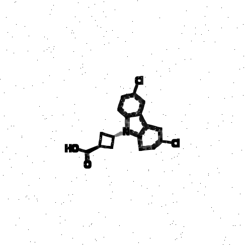 O=C(O)[C@H]1C[C@H](n2c3ccc(Cl)cc3c3cc(Cl)ccc32)C1